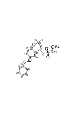 CC(=O)ONS(=O)(=O)CC1CC(C)(C)Oc2ccc(OCc3ccccc3)cc21